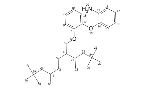 CC(CCC(COc1ccccc1Oc1ccccc1N)C(C)CC(C)(C)C)CC(C)(C)C